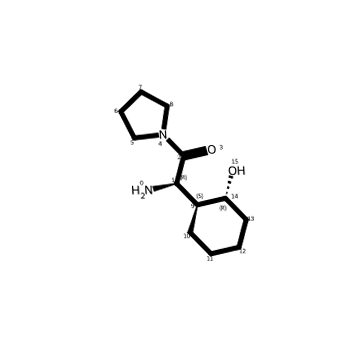 N[C@@H](C(=O)N1CCCC1)[C@@H]1CCCC[C@H]1O